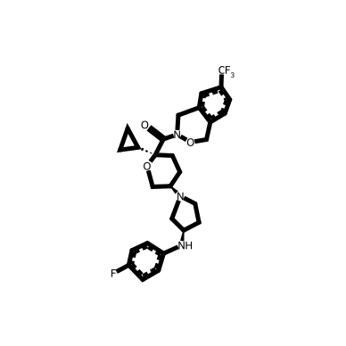 O=C(N1Cc2cc(C(F)(F)F)ccc2CO1)[C@@]1(C2CC2)CC[C@@H](N2CC[C@@H](Nc3ccc(F)cc3)C2)CO1